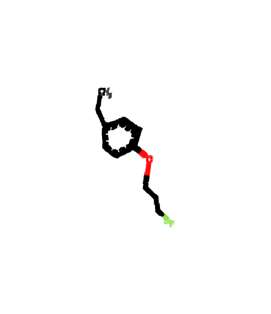 CCc1ccc(OCCC[18F])cc1